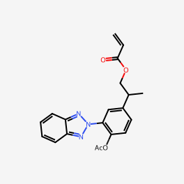 C=CC(=O)OCC(C)c1ccc(OC(C)=O)c(-n2nc3ccccc3n2)c1